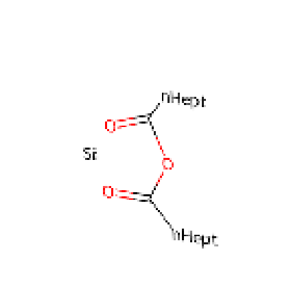 CCCCCCCC(=O)OC(=O)CCCCCCC.[Si]